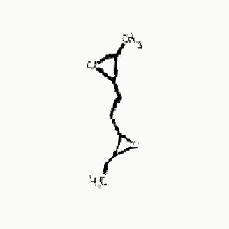 CC1OC1CCC1OC1C